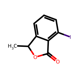 CC1OC(=O)c2c(I)cccc21